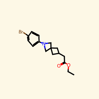 CCOC(=O)CC1CC2(C1)CN(c1ccc(Br)cc1)C2